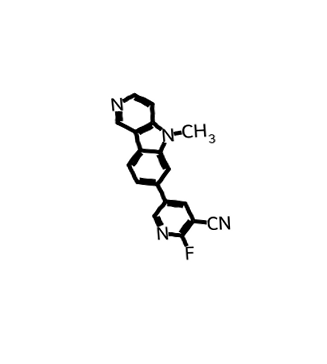 Cn1c2ccncc2c2ccc(-c3cnc(F)c(C#N)c3)cc21